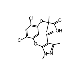 C=Cc1c(C)nn(C)c1Oc1cc(OC(C)(C)C(=O)O)c(Cl)cc1Cl